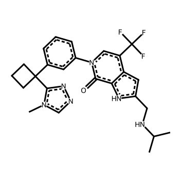 CC(C)NCc1cc2c(C(F)(F)F)cn(-c3cccc(C4(c5nncn5C)CCC4)c3)c(=O)c2[nH]1